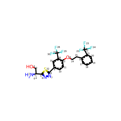 C[C@](N)(CO)c1nnc(-c2ccc(OCCc3ccccc3C(F)(F)F)c(C(F)(F)F)c2)s1